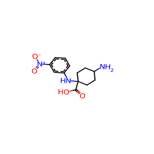 NC1CCC(Nc2cccc([N+](=O)[O-])c2)(C(=O)O)CC1